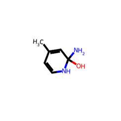 CC1=CC(N)(O)NC=C1